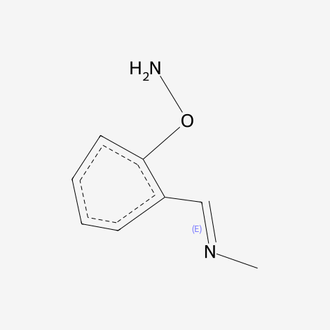 C/N=C/c1ccccc1ON